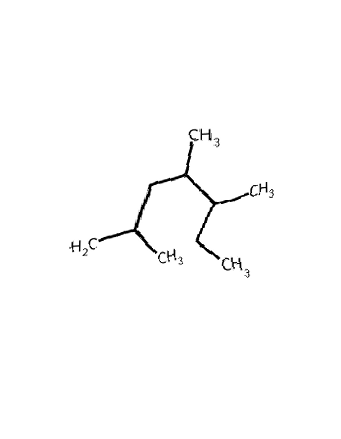 [CH2]C(C)CC(C)C(C)CC